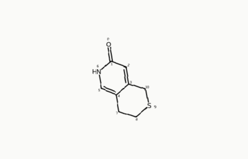 O=c1cc2c(c[nH]1)CCSC2